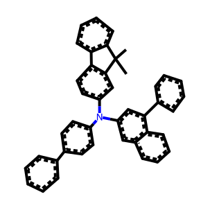 CC1(C)c2ccccc2-c2ccc(N(c3ccc(-c4ccccc4)cc3)c3cc(-c4ccccc4)c4ccccc4c3)cc21